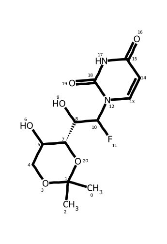 CC1(C)OCC(O)[C@H](C(O)C(F)n2ccc(=O)[nH]c2=O)O1